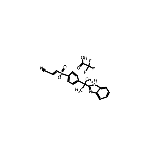 CC(C)(c1ccc(S(=O)(=O)C=CC#N)cc1)c1nc2ccccc2[nH]1.O=C(O)C(F)(F)F